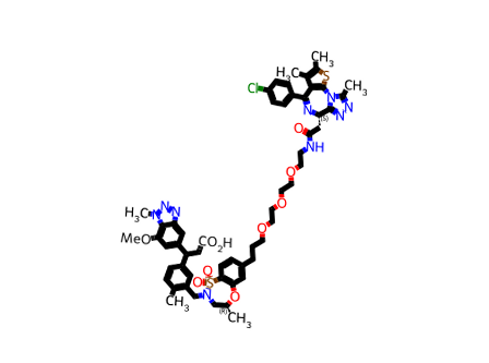 COc1cc(C(CC(=O)O)c2ccc(C)c(CN3C[C@@H](C)Oc4cc(CCCOCCOCCOCCNC(=O)C[C@@H]5N=C(c6ccc(Cl)cc6)c6c(sc(C)c6C)-n6c(C)nnc65)ccc4S3(=O)=O)c2)cc2nnn(C)c12